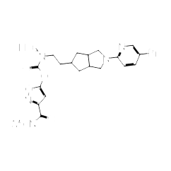 CNC(=O)c1cc(OC(=O)N(C)CCC2CC3CN(c4ccc(Br)cn4)CC3C2)on1